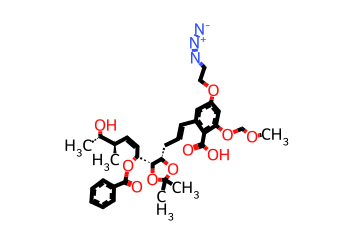 COCOc1cc(OCCN=[N+]=[N-])cc(/C=C/C[C@@H]2OC(C)(C)O[C@@H]2C(/C=C\[C@@H](C)[C@H](C)O)OC(=O)c2ccccc2)c1C(=O)O